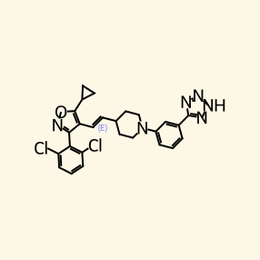 Clc1cccc(Cl)c1-c1noc(C2CC2)c1/C=C/C1CCN(c2cccc(-c3nn[nH]n3)c2)CC1